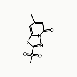 Cc1cc(=O)n2nc(S(C)(=O)=O)sc2c1